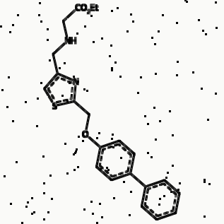 CCOC(=O)CNCc1csc(COc2ccc(-c3ccccc3)cc2)n1